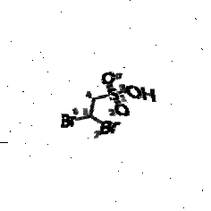 O=S(=O)(O)CC(Br)Br